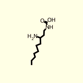 CCCCCCCC(N)CCNC(=O)O